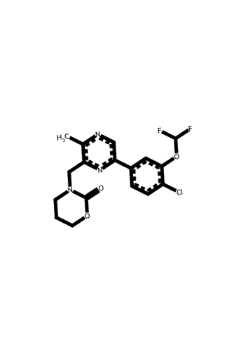 Cc1ncc(-c2ccc(Cl)c(OC(F)F)c2)nc1CN1CCCOC1=O